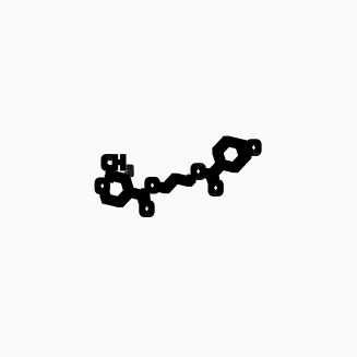 CC1CC(C(=O)OCCCOC(=O)C2CCC3OC3C2)CCO1